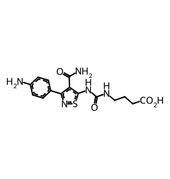 NC(=O)c1c(-c2ccc(N)cc2)nsc1NC(=O)NCCCC(=O)O